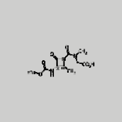 C[C@H]1[C@H](NC(=O)OC(C)(C)C)C(=O)N1C(=O)N(C)CC(=O)O